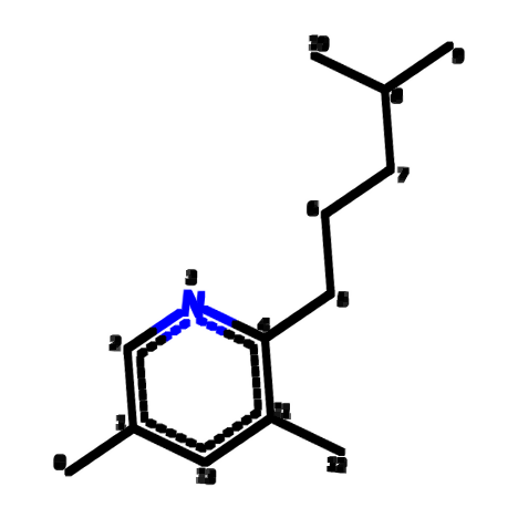 Cc1cnc(CCCC(C)C)c(C)c1